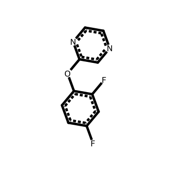 Fc1ccc(Oc2cnccn2)c(F)c1